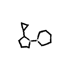 C1CCN(N2CCCC2C2CC2)CC1